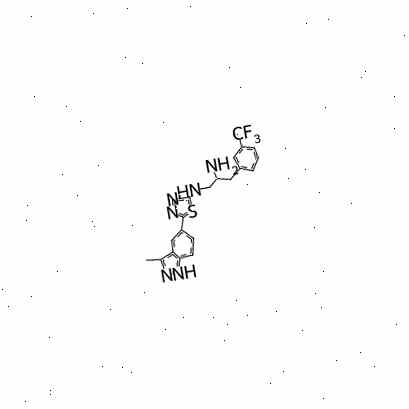 Cc1n[nH]c2ccc(-c3nnc(NCC(N)Cc4cccc(C(F)(F)F)c4)s3)cc12